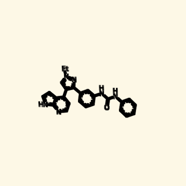 CCn1cc(-c2ccnc3[nH]ccc23)c(-c2cccc(NC(=O)Nc3ccccc3)c2)n1